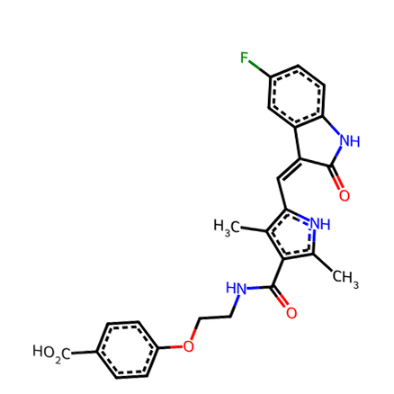 Cc1[nH]c(/C=C2\C(=O)Nc3ccc(F)cc32)c(C)c1C(=O)NCCOc1ccc(C(=O)O)cc1